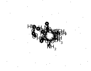 CC(O)[C@@H]1NC(=O)[C@H](CCCCN)NC(=O)[C@@H](Cc2c[nH]c3ccccc23)NC(=O)[C@H](Cc2ccccc2)NC(=O)[C@@H](NC(=O)[C@H](N)Cc2ccccc2)CSSC[C@@H](C(=O)N[C@H](CO)[C@@H](C)O)NC1=O.Fc1ccc([C@@H]2CCNC[C@H]2COc2ccc3c(c2)OCO3)cc1